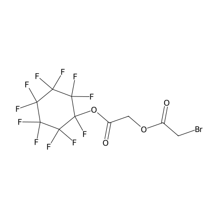 O=C(CBr)OCC(=O)OC1(F)C(F)(F)C(F)(F)C(F)(F)C(F)(F)C1(F)F